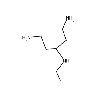 CCNC(CCN)CCN